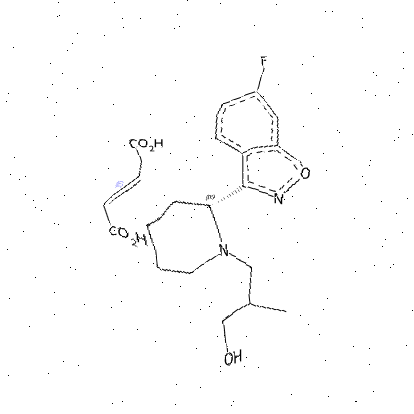 CC(CO)CN1CCCC[C@@H]1c1noc2cc(F)ccc12.O=C(O)/C=C/C(=O)O